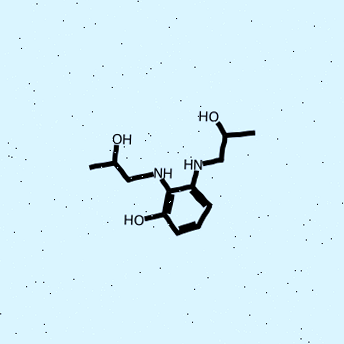 CC(O)CNc1cccc(O)c1NCC(C)O